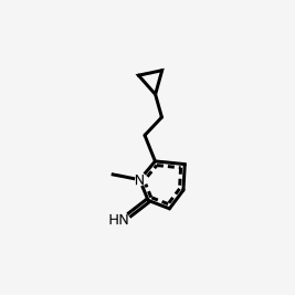 Cn1c(CCC2CC2)cccc1=N